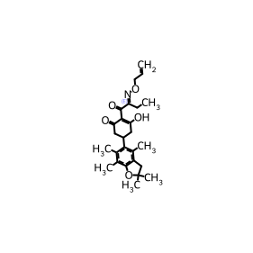 C=CCO/N=C(\CC)C(=O)C1=C(O)CC(c2c(C)c(C)c3c(c2C)CC(C)(C)O3)CC1=O